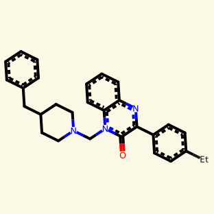 CCc1ccc(-c2nc3ccccc3n(CN3CCC(Cc4ccccc4)CC3)c2=O)cc1